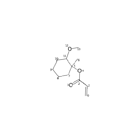 C=CC(=O)OC1(C)CCCCC1OC